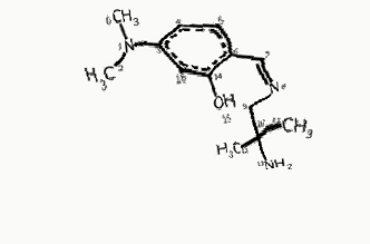 CN(C)c1ccc(/C=N\CC(C)(C)N)c(O)c1